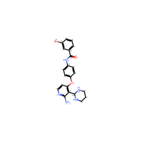 Nc1nccc(Oc2ccc(NC(=O)c3cccc(Br)c3)cc2)c1C1NCCCN1